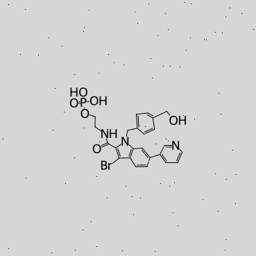 O=C(NCCOP(=O)(O)O)c1c(Br)c2ccc(-c3cccnc3)cc2n1Cc1ccc(CO)cc1